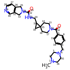 CN1CCN(Cc2ccc(C(=O)N3CCC4(CC3)CC4CNC(=O)N3Cc4ccncc4C3)cc2)CC1